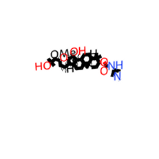 CO[C@@H](C1C[C@@H](C)[C@H]2C(O1)[C@H](O)[C@@]1(C)C3CC[C@H]4C(C)(C)C(OC(=O)NC5CN(C)C5)CC[C@@]45C[C@@]35CC[C@]21C)C(C)(C)O